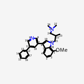 COc1cccc2c(-c3cncc(-c4ccccc4)c3)cn(CC(C)CN(C)C)c12